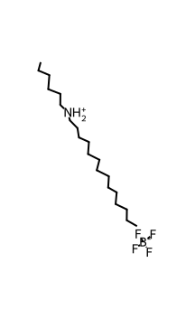 CCCCCCCCCCCCCC[NH2+]CCCCCC.F[B-](F)(F)F